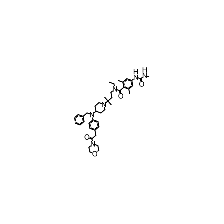 CCN(CCC(C)(C)N1CCC(N(Cc2ccccc2)c2ccc(CC(=O)N3CCOCC3)cc2)CC1)C(=O)c1c(C)cc(NC(=O)NC)cc1C